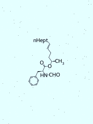 CCCCCCC/C=C/CC[C@@H](C)OC(=O)[C@H](Cc1ccccc1)NC=O